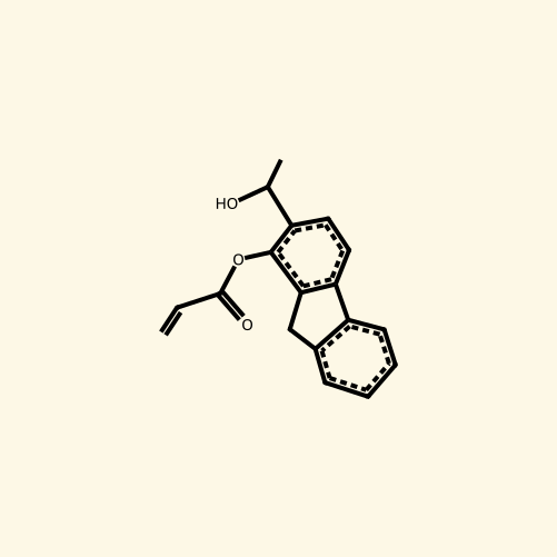 C=CC(=O)Oc1c(C(C)O)ccc2c1Cc1ccccc1-2